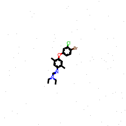 CCN(/C=N/c1cc(C)c(Oc2ccc(Br)c(Cl)c2)cc1C)CC